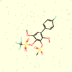 COc1cc(-c2ccc(F)cc2)c(OC)c(OS(C)(=O)=O)c1OS(=O)(=O)C(F)(F)F